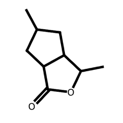 CC1CC2C(=O)OC(C)C2C1